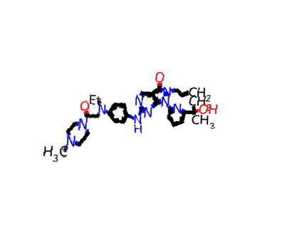 C=CCn1c(=O)c2cnc(Nc3ccc(N(CC)CC(=O)N4CCN(C)CC4)cc3)nc2n1-c1cccc(C(C)(C)O)n1